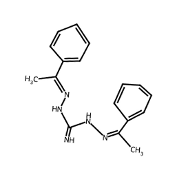 CC(=NNC(=N)NN=C(C)c1ccccc1)c1ccccc1